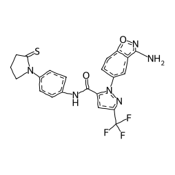 Nc1noc2ccc(-n3nc(C(F)(F)F)cc3C(=O)Nc3ccc(N4CCCC4=S)cc3)cc12